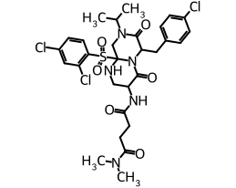 CC(C)N1CC2(S(=O)(=O)c3ccc(Cl)cc3Cl)NCC(NC(=O)CCC(=O)N(C)C)C(=O)N2C(Cc2ccc(Cl)cc2)C1=O